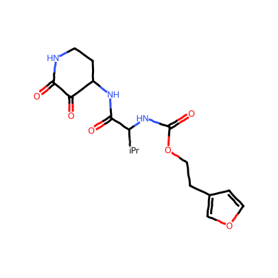 CC(C)C(NC(=O)OCCc1ccoc1)C(=O)NC1CCNC(=O)C1=O